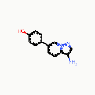 Nc1cnn2cc(-c3ccc(O)cc3)ccc12